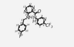 O=C(Nc1ccc(C(F)(F)F)nc1)c1nccnc1NCc1ccc(F)cc1